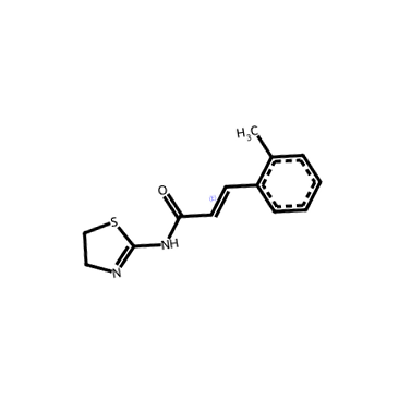 Cc1ccccc1/C=C/C(=O)NC1=NCCS1